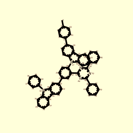 Cc1ccc(-c2ccc3c(c2)c2ccccc2n3-c2ccc(-c3ccc4c5ccccc5n(-c5ccccc5)c4c3)cc2-c2nc(-c3ccccc3)nc(-c3ccccc3)n2)cc1